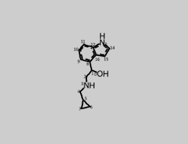 OC(CNCC1CC1)c1cccc2[nH]ccc12